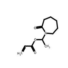 C=CC(=O)OC(C)N1CCCCCC1=O